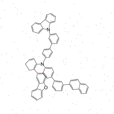 C1=CC(N(c2ccc(-c3cccc(-c4ccc5ccccc5c4)c3)cc2)c2ccc(-c3cccc(-n4c5ccccc5c5ccccc54)c3)cc2)=C(c2ccc3oc4ccccc4c3c2)CC1